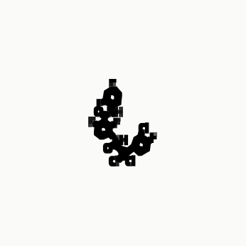 O=C(Nc1ccc(F)cc1F)c1c(F)ccc(NC(=O)C2C(c3ccc(F)c(Cl)c3)C2(Cl)Cl)c1F